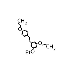 C=CCOc1ccc(CCc2cc(OCC)cc(OCC=C)c2)cc1